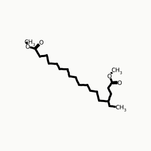 CCC(CCCCCCCCCCCCCC(=O)OC)CCC(=O)OC